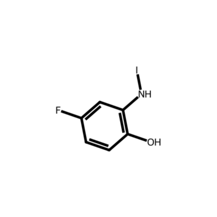 Oc1ccc(F)cc1NI